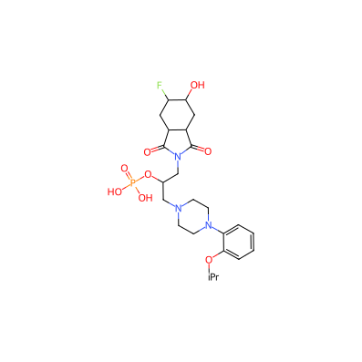 CC(C)Oc1ccccc1N1CCN(CC(CN2C(=O)C3CC(O)C(F)CC3C2=O)OP(=O)(O)O)CC1